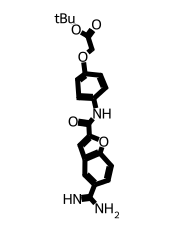 CC(C)(C)OC(=O)COc1ccc(NC(=O)c2cc3cc(C(=N)N)ccc3o2)cc1